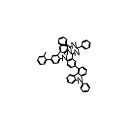 Cc1ccccc1-c1ccc2c(c1)c1ccccc1n2-c1ccc(-c2cccc3c2c2ccccc2n3-c2ccccc2)cc1-c1nc(-c2ccccc2)nc(-c2ccccc2)n1